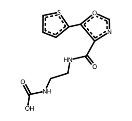 O=C(O)NCCNC(=O)c1ncoc1-c1cccs1